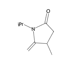 C=C1C(C)CC(=O)N1C(C)C